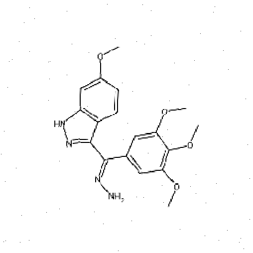 COc1ccc2c(/C(=N/N)c3cc(OC)c(OC)c(OC)c3)n[nH]c2c1